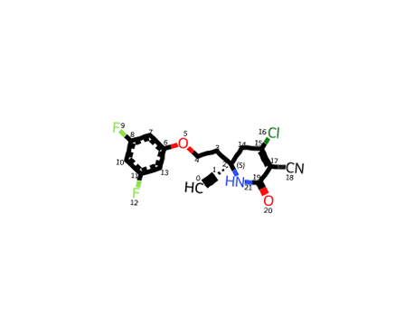 C#C[C@]1(CCOc2cc(F)cc(F)c2)CC(Cl)=C(C#N)C(=O)N1